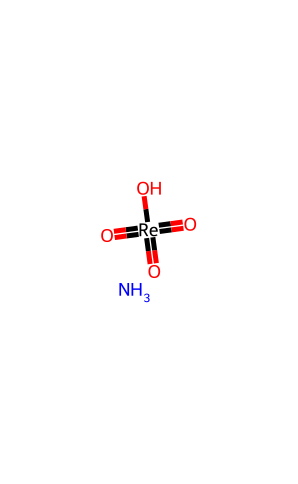 N.[O]=[Re](=[O])(=[O])[OH]